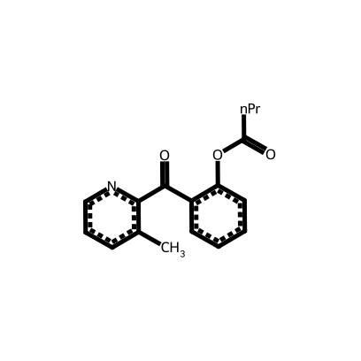 CCCC(=O)Oc1ccccc1C(=O)c1ncccc1C